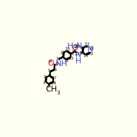 Cc1ccc(/C=C/C(=O)NCc2ccc(C(=O)Nc3ccncc3N)cc2)cc1